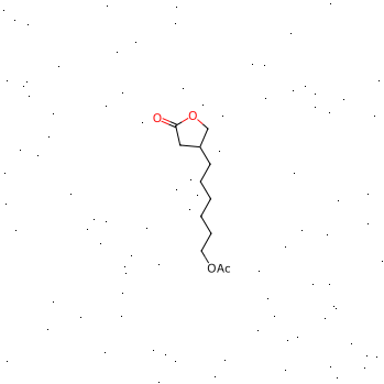 CC(=O)OCCCCCCC1COC(=O)C1